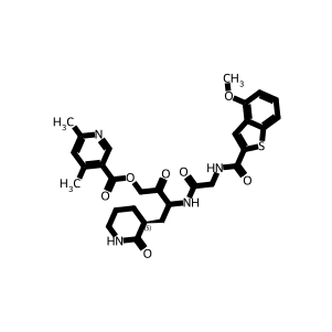 COc1cccc2sc(C(=O)NCC(=O)NC(C[C@@H]3CCCNC3=O)C(=O)COC(=O)c3cnc(C)cc3C)cc12